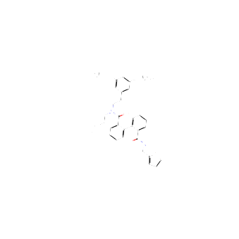 COc1cc(CCN(CCC(=O)O)C(=O)c2ccccc2-c2ccccc2C(=O)NCc2cccs2)cc(OC)c1